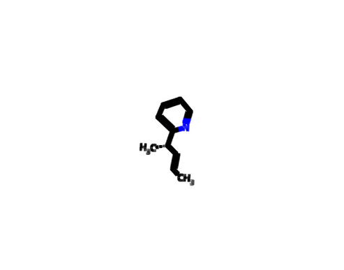 C/C=C/[C@H](C)c1ccccn1